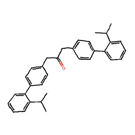 CC(C)c1ccccc1-c1ccc(CC(=O)Cc2ccc(-c3ccccc3C(C)C)cc2)cc1